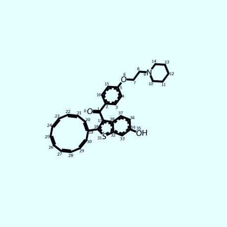 O=C(c1ccc(OCCN2CCCCC2)cc1)c1c(C2=CC=CC=CC=CC=CC=C2)sc2cc(O)ccc12